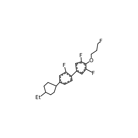 CCC1CCC(c2ccc(-c3cc(F)c(OCCCF)c(F)c3)c(F)c2)CC1